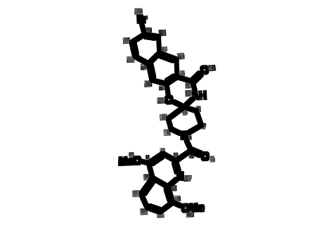 COc1cc(C(=O)N2CCC3(CC2)NC(=O)c2cc4cc(Br)ccc4cc2O3)nc2c(OC)cccc12